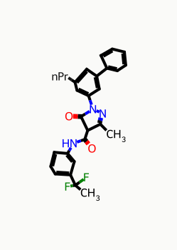 CCCc1cc(-c2ccccc2)cc(N2N=C(C)C(C(=O)Nc3cccc(C(C)(F)F)c3)C2=O)c1